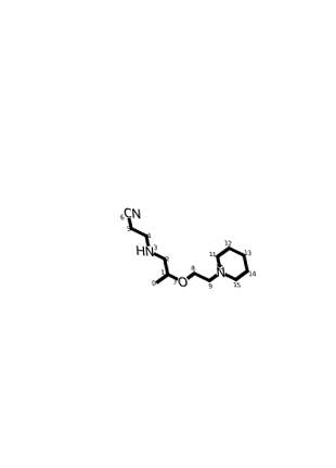 CC(CNCCC#N)OCCN1CCCCC1